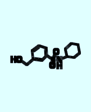 O=S(=O)(NC1CCCCC1)c1cccc(CO)c1